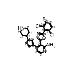 Nc1nccc(-c2cnn(C3CCNCC3)c2)c1-c1nnc(-c2c(Cl)ccc(F)c2Cl)o1